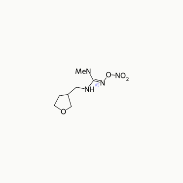 CN/C(=N\O[N+](=O)[O-])NCC1CCOC1